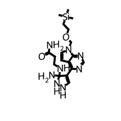 C[Si](C)(C)CCOCn1ccc2c(C3=CNNC3(N)NCCC(N)=O)ncnc21